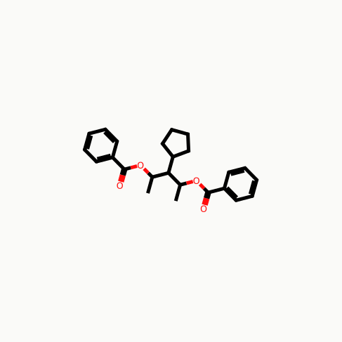 CC(OC(=O)c1ccccc1)C(C1CCCC1)C(C)OC(=O)c1ccccc1